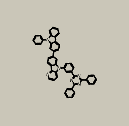 c1ccc(-c2nc(-c3ccccc3)nc(-c3cccc(-n4c5cc(-c6ccc7c8ccccc8n(-c8ccccc8)c7c6)ccc5c5ncccc54)c3)n2)cc1